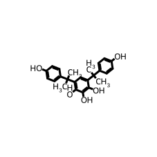 CC(C)(c1ccc(O)cc1)c1cc(C(C)(C)c2ccc(O)cc2)c(O)c(O)c1O